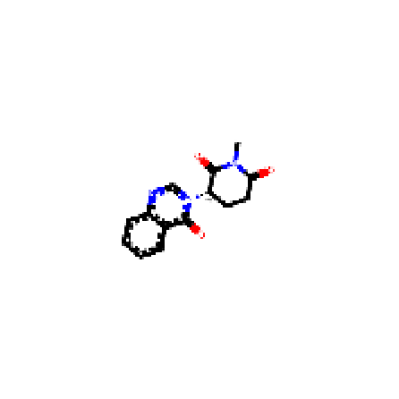 CN1C(=O)CC[C@H](n2cnc3ccccc3c2=O)C1=O